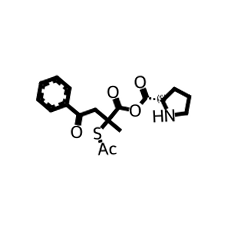 CC(=O)SC(C)(CC(=O)c1ccccc1)C(=O)OC(=O)[C@@H]1CCCN1